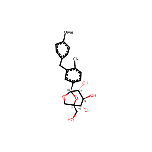 COc1ccc(Cc2cc([C@]34OC[C@](CO)(O3)[C@@H](O)[C@H](O)[C@H]4O)ccc2C#N)cc1